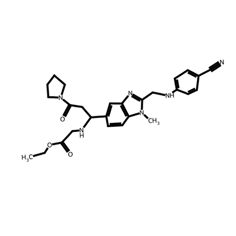 CCOC(=O)CNC(CC(=O)N1CCCC1)c1ccc2c(c1)nc(CNc1ccc(C#N)cc1)n2C